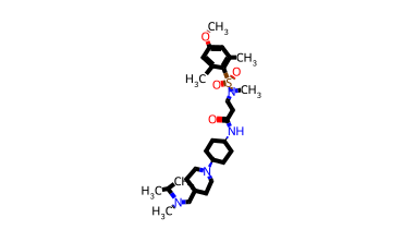 COc1cc(C)c(S(=O)(=O)N(C)CCC(=O)N[C@H]2CC[C@H](N3CCC(CN(C)C(C)C)CC3)CC2)c(C)c1